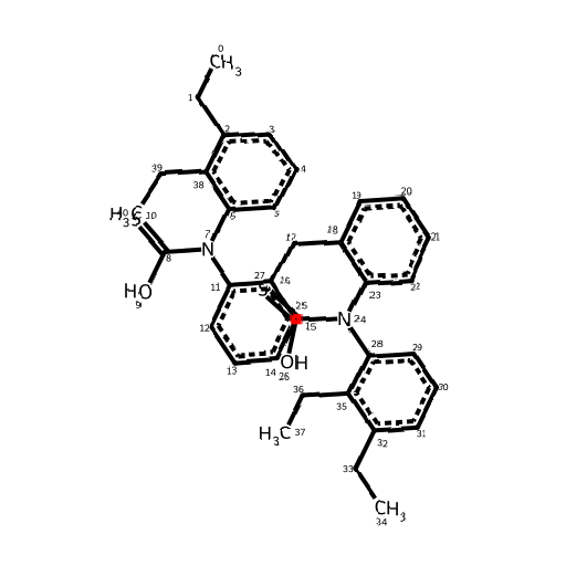 CCc1cccc(N(C(O)=S)c2ccccc2Cc2ccccc2N(C(O)=S)c2cccc(CC)c2CC)c1CC